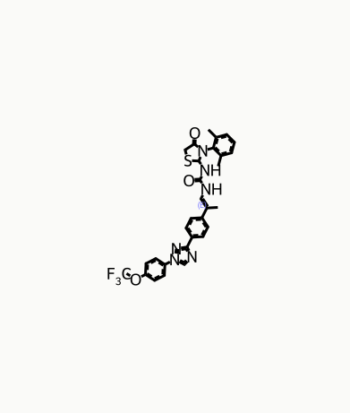 C/C(=C\NC(=O)NC1SCC(=O)N1c1c(C)cccc1C)c1ccc(-c2ncn(-c3ccc(OC(F)(F)F)cc3)n2)cc1